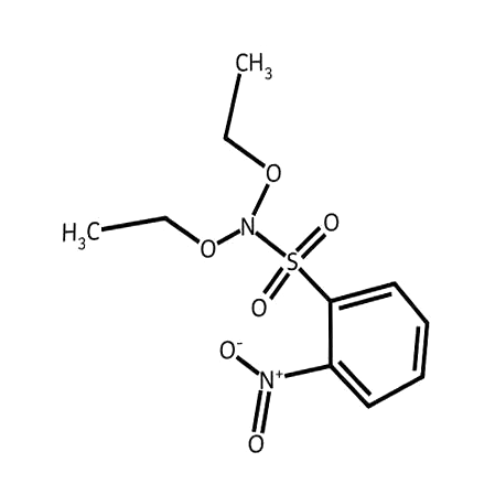 CCON(OCC)S(=O)(=O)c1ccccc1[N+](=O)[O-]